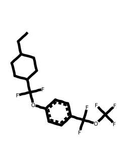 CCC1CCC(C(F)(F)Oc2ccc(C(F)(F)OC(F)(F)F)cc2)CC1